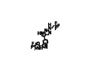 C[C@@H](NC(=O)c1cnn2ccc(-c3c[nH]c4nc(NCCC(F)(F)F)ncc34)cc12)C(F)(F)F